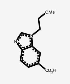 COCCn1cnc2ccc(C(=O)O)cc21